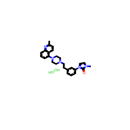 Cc1ccc2c(N3CCN(CCc4cccc(-n5ccn(C)c5=O)c4)CC3)cccc2n1.Cl.Cl